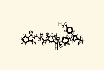 Cc1ccc(-c2cc(C(F)(F)F)nn2-c2ccc(S(=O)(=O)NC(=O)CN(C(C)C)[N+]([O-])=NOCN3C(=O)c4ccccc4C3=O)cc2)cc1